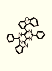 c1ccc(-c2nc(-c3cccc4oc5ccccc5c34)c3nc(-c4ccccc4)n4c5ccccc5nc4c3n2)cc1